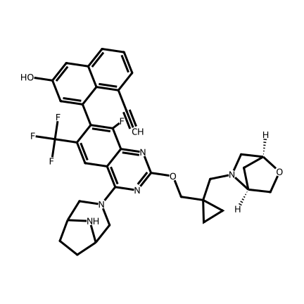 C#Cc1cccc2cc(O)cc(-c3c(C(F)(F)F)cc4c(N5CC6CCC(C5)N6)nc(OCC5(CN6C[C@@H]7C[C@H]6CO7)CC5)nc4c3F)c12